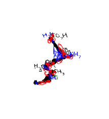 Cc1cc2c(OC(=O)N(C)CCN(C)C(=O)OCc3ccc(NC(=O)[C@H](CCCNC(N)=O)NC(=O)[C@@H](NC(=O)CCCCCN4C(=O)CC(SC[C@H](N)C(=O)O)C4=O)C(C)C)cc3)cc3c(c2s1)[C@H](CCl)CN3C(=O)c1cc2cc(OCCN3CCCC3)ccc2[nH]1